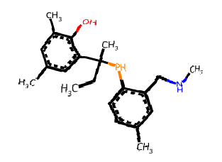 CCC(C)(Pc1ccc(C)cc1CNC)c1cc(C)cc(C)c1O